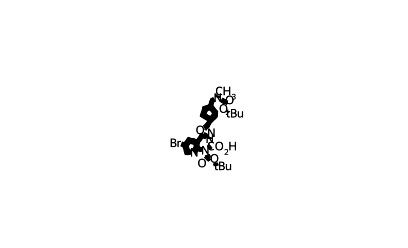 CN(Cc1ccc(-c2nnc(-c3cc(Br)cnc3N(C(=O)O)C(=O)OC(C)(C)C)o2)cc1)C(=O)OC(C)(C)C